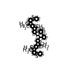 CC1(C)c2cc(CCC(c3ccc4c(c3)C(C)(C)c3cc5c(cc3-4)C(C)(C)c3ccc4sc6ccccc6c4c3-5)c3ccccc3-c3ccccc3)ccc2-c2cc3c(cc21)-c1c(ccc2sc4ccccc4c12)C3(C)C